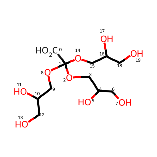 O=C(O)C(OCC(O)CO)(OCC(O)CO)OCC(O)CO